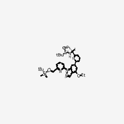 CCC[C@@](I)(N[S@+]([O-])C(C)(C)C)c1cccc(-c2cc(OCC)c3cnn(-c4cccc(CO[Si](C)(C)C(C)(C)C)n4)c3c2)n1